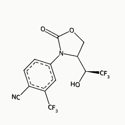 N#Cc1ccc(N2C(=O)OCC2[C@H](O)C(F)(F)F)cc1C(F)(F)F